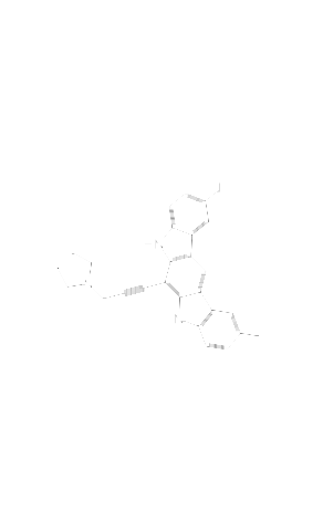 Fc1ccc2[nH]c3c(C#CCN4CCCC4)c4[nH]c5ccc(F)cc5c4cc3c2c1